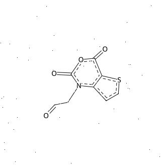 O=CCn1c(=O)oc(=O)c2sccc21